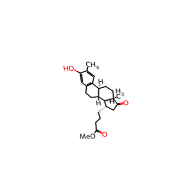 COC(=O)CCC[C@H]1CC(=O)[C@@]2(C)CC[C@@H]3c4cc(C)c(O)cc4CC[C@H]3[C@H]12